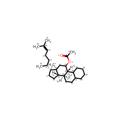 CC(=O)OC1C[C@]2(C)[C@@H](C(C)CCC=C(C)C)CC[C@H]2[C@@H]2CCC3CCCC[C@]3(C)[C@@H]12